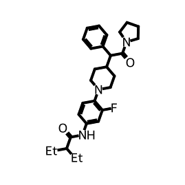 CCC(CC)C(=O)Nc1ccc(N2CCC(C(C(=O)N3CCCC3)c3ccccc3)CC2)c(F)c1